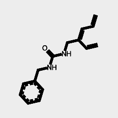 C=C/C=C(\C=C)CNC(=O)NCc1ccccc1